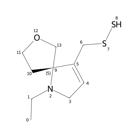 CCN1CC=C(CSS)[C@]12CCOC2